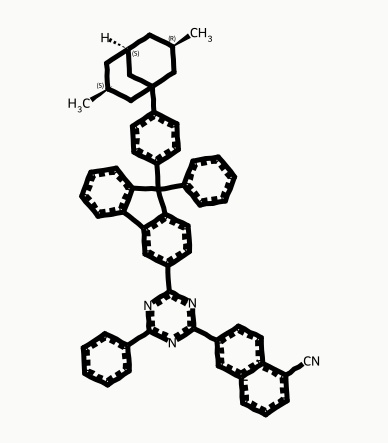 C[C@@H]1C[C@@H]2C[C@H](C)CC(c3ccc(C4(c5ccccc5)c5ccccc5-c5cc(-c6nc(-c7ccccc7)nc(-c7ccc8c(C#N)cccc8c7)n6)ccc54)cc3)(C1)C2